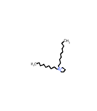 CCCCCCCCCC[N+]1(CCCCCCCCC)CCCC1